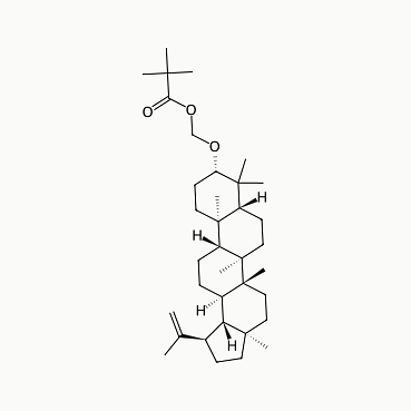 C=C(C)[C@@H]1CC[C@]2(C)CC[C@]3(C)[C@H](CC[C@@H]4[C@@]5(C)CC[C@H](OCOC(=O)C(C)(C)C)C(C)(C)[C@@H]5CC[C@]43C)[C@@H]12